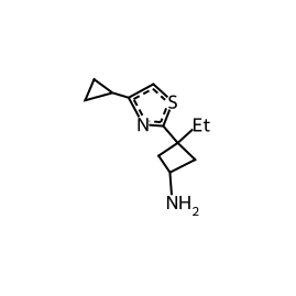 CCC1(c2nc(C3CC3)cs2)CC(N)C1